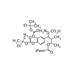 CCCC(C)C(=O)OC(C)C(C)C(c1ccc(OC(=O)OC(C)(C)CC)c(OC(=O)OC(C)(C)CC)c1)[C@H](N)C(=O)O